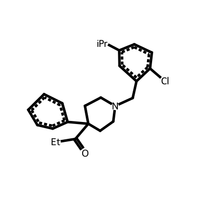 [CH2]C(C)c1ccc(Cl)c(CN2CCC(C(=O)CC)(c3ccccc3)CC2)c1